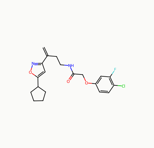 C=C(CCNC(=O)COc1ccc(Cl)c(F)c1)c1cc(C2CCCC2)on1